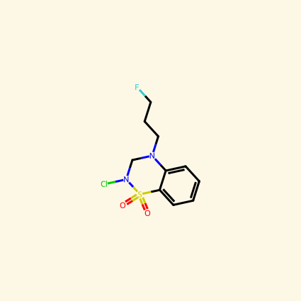 O=S1(=O)c2ccccc2N(CCCF)CN1Cl